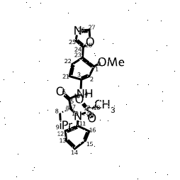 COc1cc(NC(=O)[C@@H](CC(C)C)N(c2ccccc2)S(C)(=O)=O)ccc1-c1cnco1